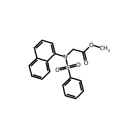 COC(=O)CN(c1cc[c]c2ccccc12)S(=O)(=O)c1ccccc1